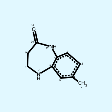 Cc1ccc2c(c1)NCCC(=O)N2